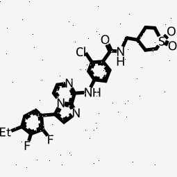 CCc1ccc(-c2cnc3c(Nc4ccc(C(=O)NCC5CCS(=O)(=O)CC5)c(Cl)c4)nccn23)c(F)c1F